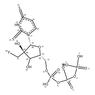 O=P(O)(O)OP(=O)(O)OP(=O)(O)OC[C@H]1O[C@@H](n2ccc(=S)[nH]c2=S)[C@@](O)(CF)C1O